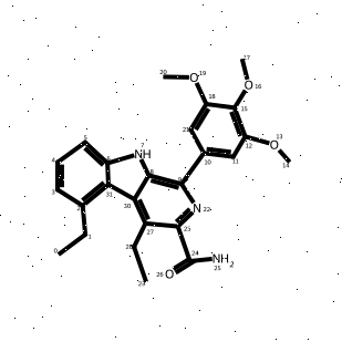 CCc1cccc2[nH]c3c(-c4cc(OC)c(OC)c(OC)c4)nc(C(N)=O)c(CC)c3c12